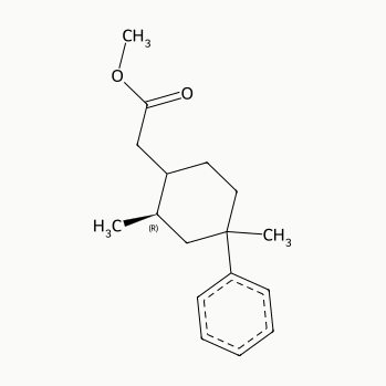 COC(=O)CC1CCC(C)(c2ccccc2)C[C@H]1C